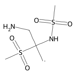 [CH2]C(CN)(NS(C)(=O)=O)S(C)(=O)=O